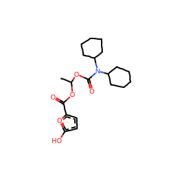 CC(OC(=O)c1ccc(O)o1)OC(=O)N(C1CCCCC1)C1CCCCC1